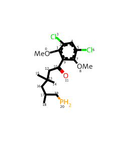 COc1c(Cl)cc(Cl)c(OC)c1C(=O)CC(C)(C)CC(C)CP